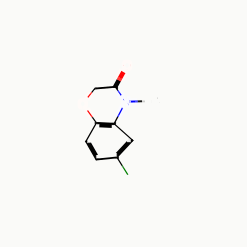 CC(=O)ON1C(=O)COc2ccc(Cl)cc21